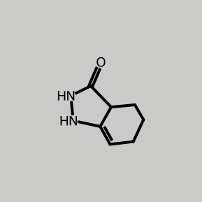 O=C1NNC2=CCCCC12